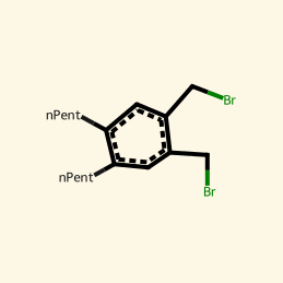 CCCCCc1cc(CBr)c(CBr)cc1CCCCC